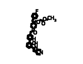 CCOC(=O)COCC1(Cc2ccc(F)cc2)CCN(C(=O)Cc2ccc(-c3cccc(-c4cc5ccncc5[nH]4)c3O)cc2)CC1